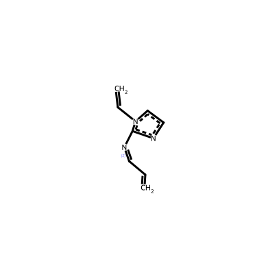 C=C/C=N\c1nccn1C=C